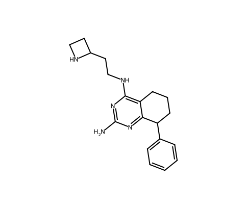 Nc1nc(NCCC2CCN2)c2c(n1)C(c1ccccc1)CCC2